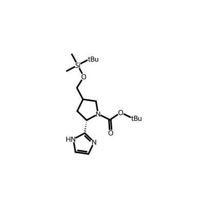 CC(C)(C)OC(=O)N1CC(CO[Si](C)(C)C(C)(C)C)C[C@H]1c1ncc[nH]1